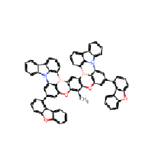 Cc1c2c(cc3c1Oc1cc(-c4cccc5oc6ccccc6c45)cc4c1B3c1cccc3c5ccccc5n-4c13)B1c3c(cc(-c4cccc5oc6ccccc6c45)cc3-n3c4ccccc4c4cccc1c43)O2